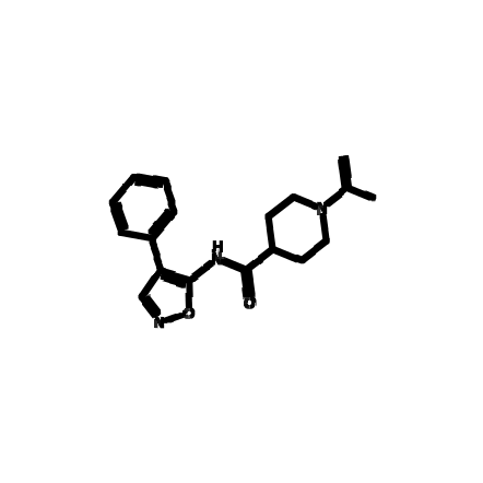 C=C(C)N1CCC(C(=O)Nc2oncc2-c2ccccc2)CC1